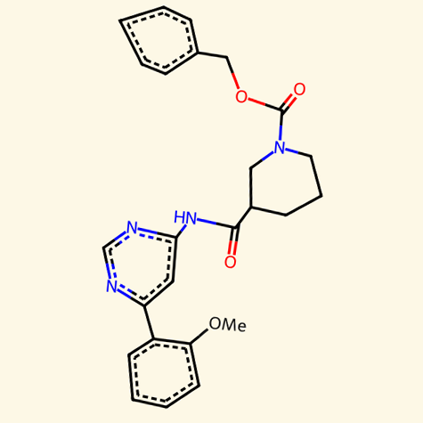 COc1ccccc1-c1cc(NC(=O)C2CCCN(C(=O)OCc3ccccc3)C2)ncn1